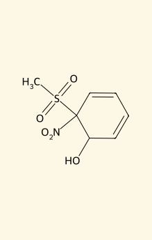 CS(=O)(=O)C1([N+](=O)[O-])C=CC=CC1O